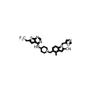 Cc1c(CN2CCC(Nc3ncnc4sc(CC(F)(F)F)cc34)CC2)ccc2c1cc(C#N)n2Cc1cnco1